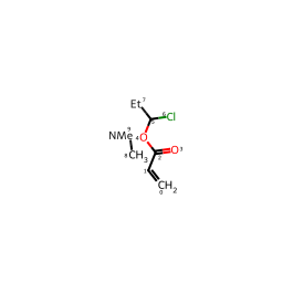 C=CC(=O)OC(Cl)CC.CNC